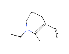 C=CC1=C(C)N(CC)CCC1